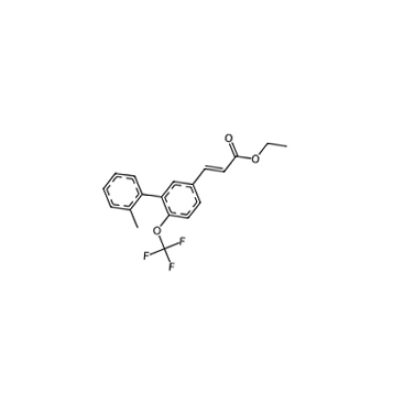 CCOC(=O)/C=C/c1ccc(OC(F)(F)F)c(-c2ccccc2C)c1